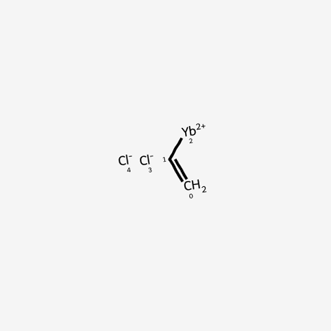 C=[CH][Yb+2].[Cl-].[Cl-]